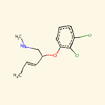 CC=CC(CNC)Oc1cccc(Cl)c1Cl